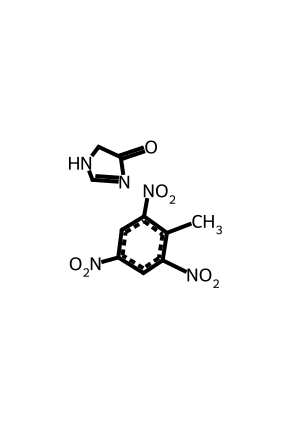 Cc1c([N+](=O)[O-])cc([N+](=O)[O-])cc1[N+](=O)[O-].O=C1CNC=N1